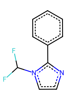 FC(F)n1ccnc1-c1ccccc1